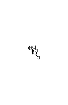 Cl.Cl.[Cl][Ru][Cl]